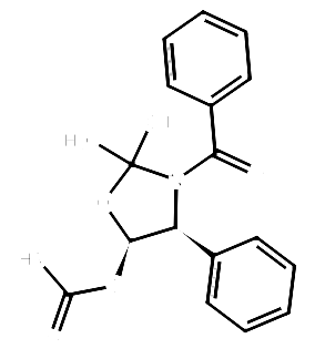 CC1(C)O[C@H](OC(=O)S)[C@H](c2ccccc2)N1C(=O)c1ccccc1